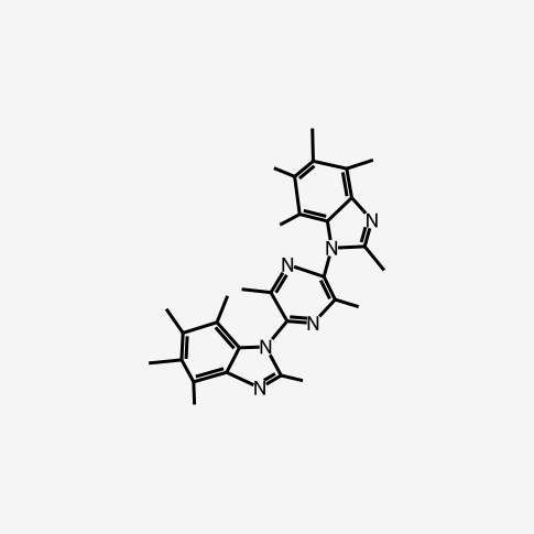 Cc1nc(-n2c(C)nc3c(C)c(C)c(C)c(C)c32)c(C)nc1-n1c(C)nc2c(C)c(C)c(C)c(C)c21